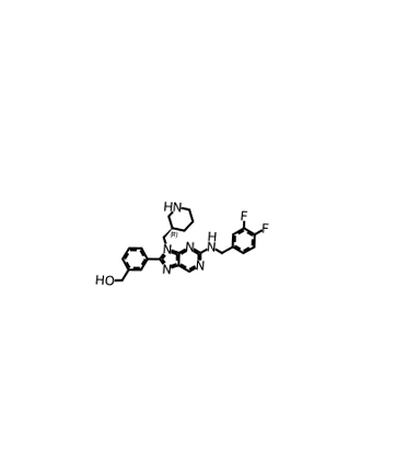 OCc1cccc(-c2nc3cnc(NCc4ccc(F)c(F)c4)nc3n2C[C@@H]2CCCNC2)c1